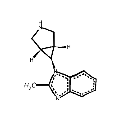 Cc1nc2ccccc2n1[C@H]1[C@@H]2CNC[C@@H]21